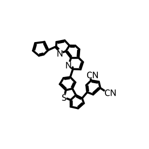 N#Cc1cc(C#N)cc(-c2cccc3sc4ccc(-c5ccc6ccc7ccc(-c8ccccc8)nc7c6n5)cc4c23)c1